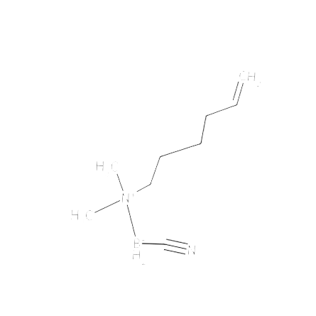 C=CCCCC[N+](C)(C)[BH2-]C#N